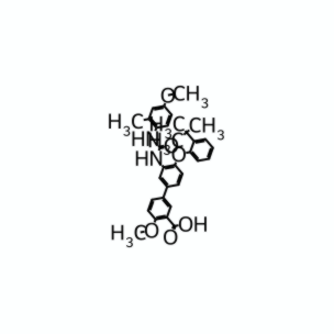 COc1ccc(NC(=O)Nc2cc(-c3ccc(OC)c(C(=O)O)c3)ccc2Oc2ccccc2C(C)(C)C)c(C)c1